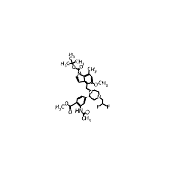 COC(=O)c1ccc([C@H]2CN(CC(F)F)CCN2Cc2c(OC)cc(C)c3c2ccn3C(=O)OC(C)(C)C)cc1NC(C)=O